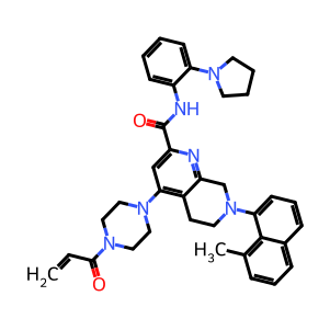 C=CC(=O)N1CCN(c2cc(C(=O)Nc3ccccc3N3CCCC3)nc3c2CCN(c2cccc4cccc(C)c24)C3)CC1